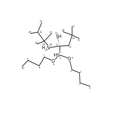 CCCCO[SiH](OCCCC)[C@](S)(CC(C)(C)C)[SiH2]C(C)(C)C(C)C